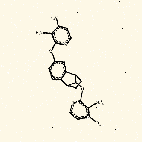 Nc1c(C(F)(F)F)ccnc1Oc1ccc2c(c1)C1CCC2C1Oc1nccc(C(F)(F)F)c1N